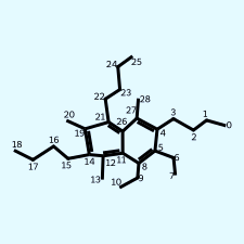 CCCCc1c(CC)c(CC)c2c(C)c(CCCC)c(C)c(CCCC)c2c1C